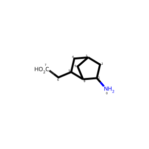 NC1CC2CC(CC(=O)O)C1C2